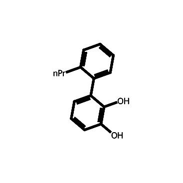 CCCc1ccccc1-c1cccc(O)c1O